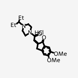 CCC(CC)N1CCN(C(=O)C=C2Cc3cc(OC)c(OC)cc3C2=O)CC1.Cl